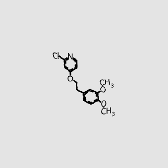 COc1ccc(CCOc2ccnc(Cl)c2)cc1OC